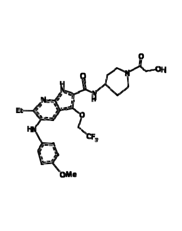 CCc1nc2[nH]c(C(=O)NC3CCN(C(=O)CO)CC3)c(OCC(F)(F)F)c2cc1Nc1ccc(OC)cc1